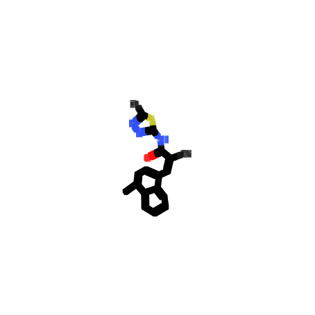 CCc1nnc(NC(=O)C(C#N)=Cc2ccc(C)c3ccccc23)s1